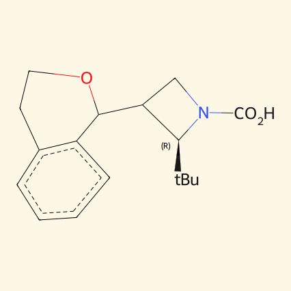 CC(C)(C)[C@H]1C(C2OCCc3ccccc32)CN1C(=O)O